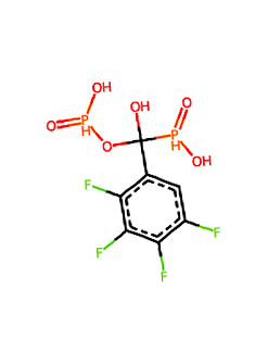 O=[PH](O)OC(O)(c1cc(F)c(F)c(F)c1F)[PH](=O)O